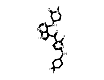 CN1CCC(Nc2ncnc3[nH]cc(C(=O)c4ccc(NC5CCC(F)(F)CC5)nc4F)c23)CC1=O